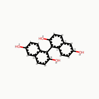 Oc1ccc2c(-c3c(O)ccc4cc(O)ccc34)c(O)ccc2c1